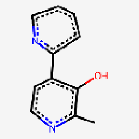 Cc1nccc(-c2ccccn2)c1O